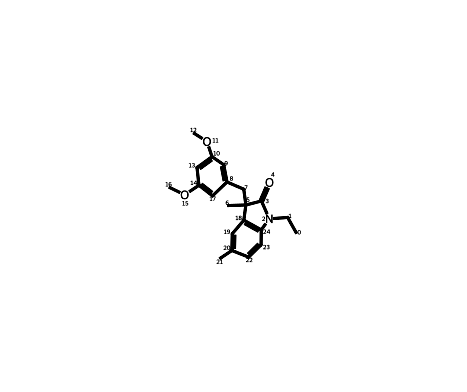 CCN1C(=O)C(C)(Cc2cc(OC)cc(OC)c2)c2cc(C)ccc21